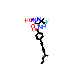 C=C/C=C(\C)C#CC#Cc1ccc(C(=O)N[C@H](C(=O)NO)C(C)(N)C(F)F)cc1